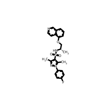 Cc1nn(-c2ccc(F)cc2)c(C)c1S(=O)(=O)N[C@@H](C)COc1cccc2cnccc12